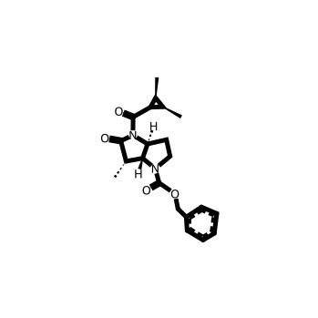 C[C@@H]1C(=O)N(C(=O)C2[C@@H](C)[C@H]2C)[C@H]2CCN(C(=O)OCc3ccccc3)[C@H]12